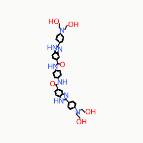 O=C(Nc1ccc(NC(=O)c2ccc3[nH]c(-c4ccc(N(CCO)CCO)cc4)nc3c2)cc1)c1ccc2[nH]c(-c3ccc(N(CCO)CCO)cc3)nc2c1